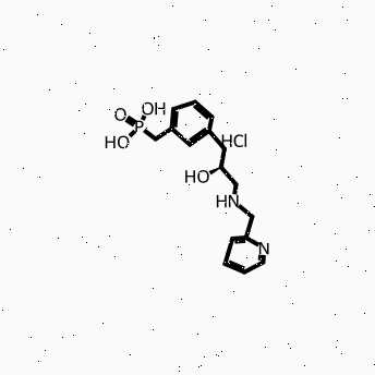 Cl.O=P(O)(O)Cc1cccc(C[C@H](O)CNCc2ccccn2)c1